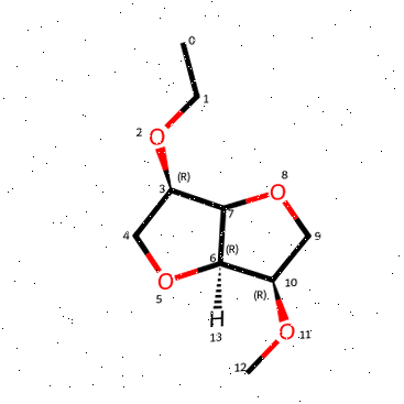 CCO[C@@H]1CO[C@H]2C1OC[C@H]2OC